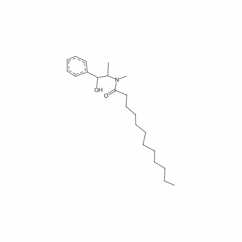 CCCCCCCCCCCC(=O)N(C)C(C)C(O)c1ccccc1